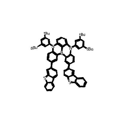 CC(C)(C)c1cc(N2c3ccc(-c4ccc5c(c4)sc4ccccc45)cc3B3c4cc(-c5ccc6sc7ccccc7c6c5)ccc4N(c4cc(C(C)(C)C)cc(C(C)(C)C)c4)c4cccc2c43)cc(C(C)(C)C)c1